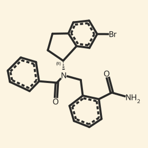 NC(=O)c1ccccc1CN(C(=O)c1ccccc1)[C@@H]1CCc2ccc(Br)cc21